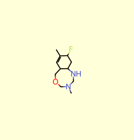 CC1=CC2COCN(C)CNC2CC1F